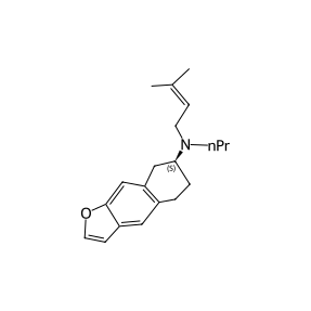 CCCN(CC=C(C)C)[C@H]1CCc2cc3ccoc3cc2C1